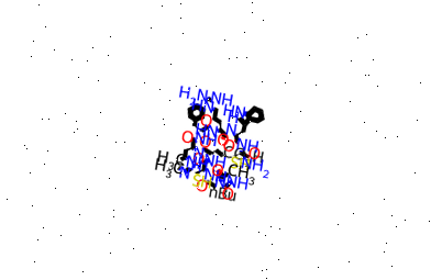 CCCC[C@@H](C(=O)N[C@@H](CS)C(=O)N[C@@H](CCC(=O)O)C(=O)N[C@@H](CC(C)N/C=N\C)C(=O)N[C@H](Cc1ccccc1)C(=O)N[C@@H](CCCNC(=N)N)C(=O)N[C@@H](Cc1c[nH]c2ccccc12)C(=O)N[C@@H](CS)C(N)=O)N1C(=O)N[C@@H](C)C1=O